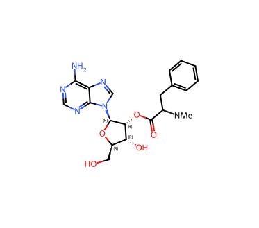 CNC(Cc1ccccc1)C(=O)O[C@@H]1[C@H](O)[C@@H](CO)O[C@H]1n1cnc2c(N)ncnc21